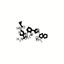 COc1c(Nc2cc(NC(=O)C3CC3)ncc2C(N)=O)cccc1-c1cnn([C@@H]2CC3(CCCC3)C[C@@H]2OC)c1